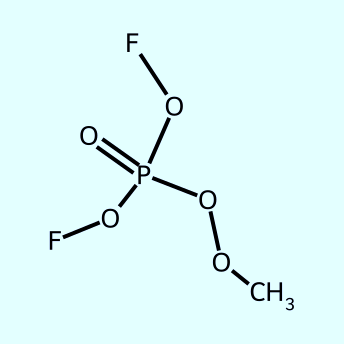 COOP(=O)(OF)OF